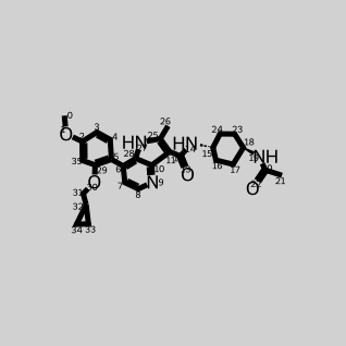 COc1ccc(-c2ccnc3c(C(=O)N[C@H]4CC[C@H](NC(C)=O)CC4)c(C)[nH]c23)c(OCC2CC2)c1